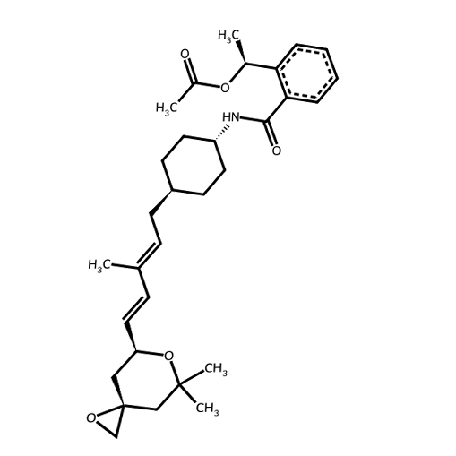 CC(=O)O[C@@H](C)c1ccccc1C(=O)N[C@H]1CC[C@H](C/C=C(C)/C=C/[C@@H]2C[C@]3(CO3)CC(C)(C)O2)CC1